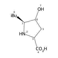 CCC(C)[C@@H]1NC(C(=O)O)CC1O